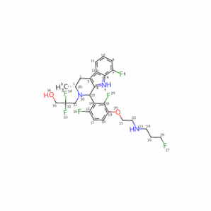 C[C@@H]1Cc2c([nH]c3c(F)cccc23)C(c2c(F)ccc(OCCNCCCF)c2F)N1CC(F)(F)CO